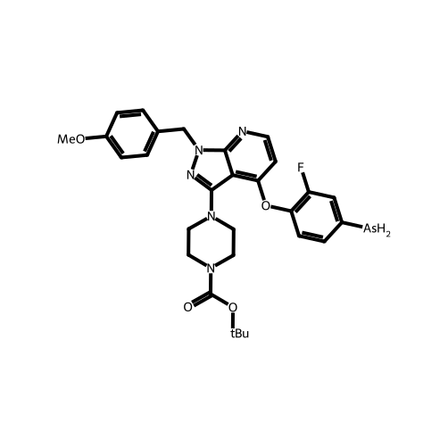 COc1ccc(Cn2nc(N3CCN(C(=O)OC(C)(C)C)CC3)c3c(Oc4ccc([AsH2])cc4F)ccnc32)cc1